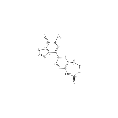 Cn1cc(-c2ccc3c(c2)NCCC(=O)N3)c2cc[nH]c2c1=O